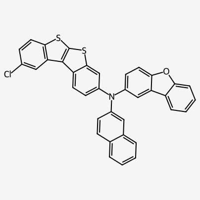 Clc1ccc2sc3sc4cc(N(c5ccc6ccccc6c5)c5ccc6oc7ccccc7c6c5)ccc4c3c2c1